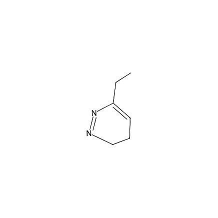 CCC1=CCCN=N1